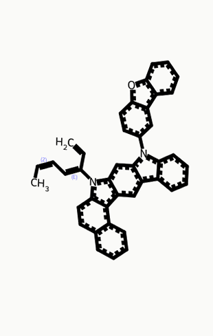 C=C/C(=C\C=C/C)n1c2cc3c(cc2c2c4ccccc4ccc21)c1ccccc1n3-c1ccc2oc3ccccc3c2c1